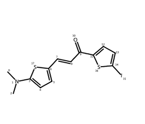 CN(C)c1ccc(C=CC(=O)c2ccc(I)s2)s1